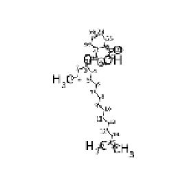 CCCC(CCCCCCCCCCCC(C)C)OC(=O)C1CC=CCC1C(=O)O